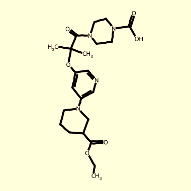 CCOC(=O)C1CCCN(c2cncc(OC(C)(C)C(=O)N3CCN(C(=O)O)CC3)c2)C1